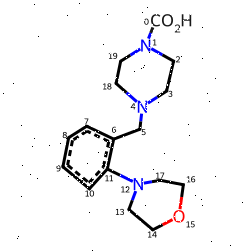 O=C(O)N1CCN(Cc2ccccc2N2CCOCC2)CC1